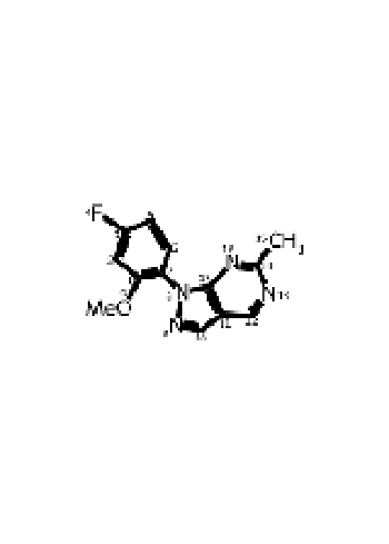 COc1cc(F)ccc1-n1ncc2cnc(C)nc21